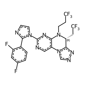 Fc1ccc(-c2nccn2-c2ncc3c(n2)N(CCC(F)(F)F)[C@H](CC(F)(F)F)c2nncn2-3)c(F)c1